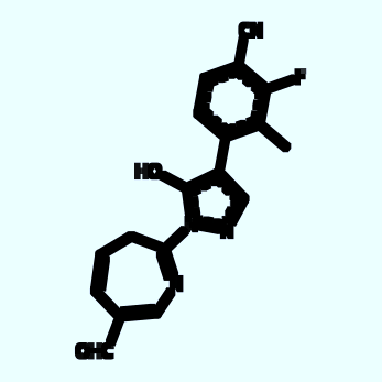 Cc1c(-c2cnn(C3=NC=C(C=O)C=CC3)c2O)ccc(C#N)c1F